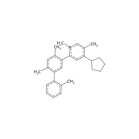 Cc1ccccc1-c1cc(-c2cc(C3CCCC3)c(C)c[n+]2C)c(C)cc1C